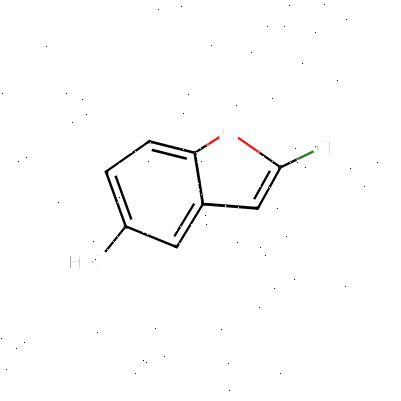 Cc1ccc2oc(Cl)[c]c2c1